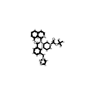 Cc1cccc2ccnc(N(C(=O)c3cccc(Cn4ccnn4)c3F)[C@@H]3CCCN(C(=O)OC(C)(C)C)C3)c12